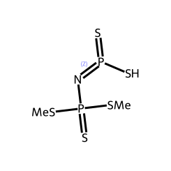 CSP(=S)(/N=P(=S)\S)SC